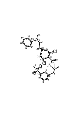 C=C(NC(C)Cc1cccc(S(C)(=O)=O)c1)c1c(Cl)cc(CCP(C)c2ccccc2)cc1Cl